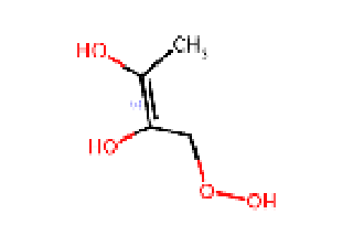 C/C(O)=C(/O)COO